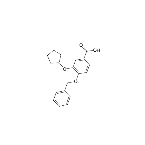 O=C(O)c1ccc(OCc2ccccc2)c(OC2CCCC2)c1